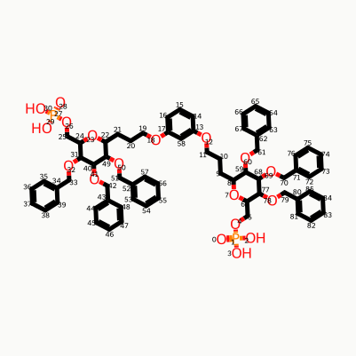 O=P(O)(O)OCC1OC(CCCOc2cccc(OCCCC3OC(COP(=O)(O)O)C(OCc4ccccc4)C(OCc4ccccc4)C3OCc3ccccc3)c2)C(OCc2ccccc2)C(OCc2ccccc2)C1OCc1ccccc1